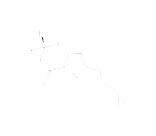 CCOOCc1cc2c([nH]1)C(=O)C1C[C@@H]1C2